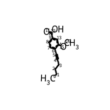 CCCCC#Cc1ccc(C(=O)O)cc1OC